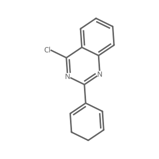 Clc1nc(C2=CCCC=C2)nc2ccccc12